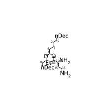 CCCCCCCCCCCCCCC(OCCCCCCCCCCCC)OC(CC)C(N)=CCN